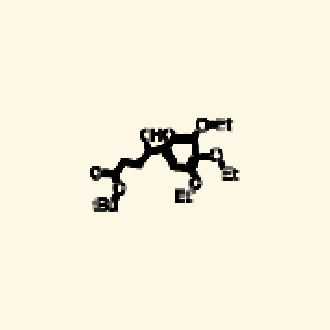 CCOc1cc(C(C=O)CCC(=O)OC(C)(C)C)cc(OCC)c1OCC